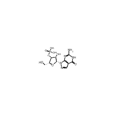 Nc1nc2c(cnn2[C@@H]2O[C@H](CO)[C@@H](OP(=O)(O)O)[C@H]2O)c(=O)[nH]1